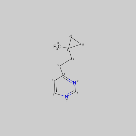 FC(F)(F)C1([CH]Cc2ccncn2)CC1